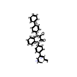 C=C/C=C(\C=C/C)c1ccc(-n2c(=O)c(=O)n(-c3ccc(-c4ccccc4)cc3)c3ccccc32)cc1